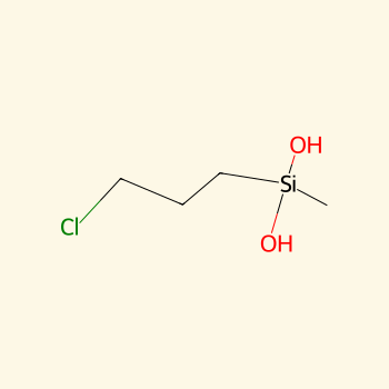 C[Si](O)(O)CCCCl